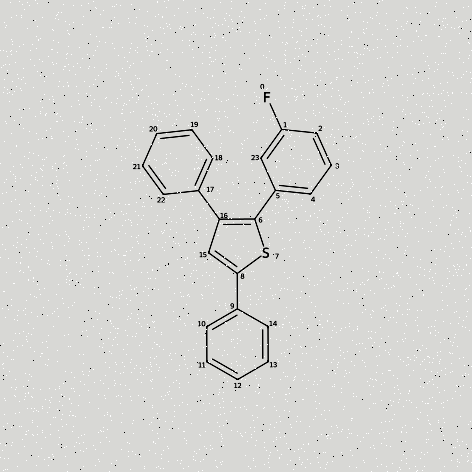 Fc1cccc(-c2sc(-c3ccccc3)cc2-c2ccccc2)c1